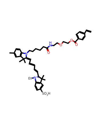 C=Cc1ccc(C(=O)OCCOCCNC(=O)CCCCCN2/C(=C/C=C/C=C/C3=[N+](CC)c4ccc(S(=O)(=O)O)cc4C3(C)C)C(C)(C)c3cc(C)ccc32)cc1